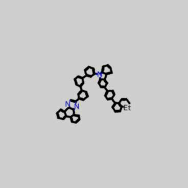 C/C=C\c1c(CC)cccc1-c1ccc(-c2ccc3c(c2)c2ccccc2n3-c2cccc(-c3cccc(-c4cccc(-c5cnc6c7ccccc7c7ccccc7c6n5)c4)c3)c2)cc1